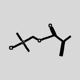 C=C(C)C(=O)OC[Si](C)(C)Cl